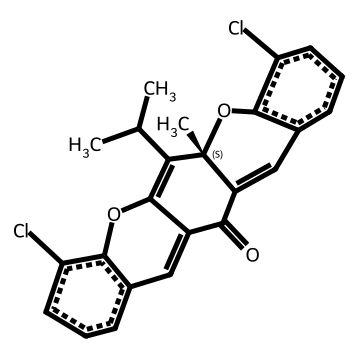 CC(C)C1=C2Oc3c(Cl)cccc3C=C2C(=O)C2=Cc3cccc(Cl)c3O[C@]21C